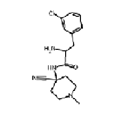 CN1CCC(C#N)(NC(=O)C(N)Cc2cccc(Cl)c2)CC1